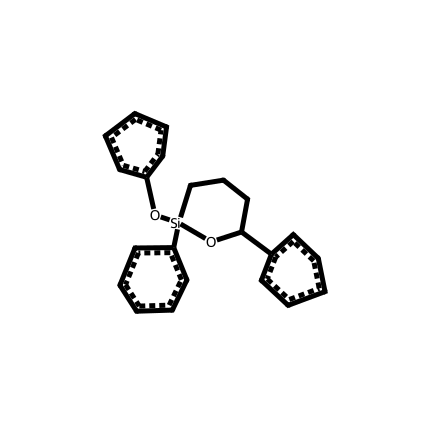 c1ccc(O[Si]2(c3ccccc3)CCCC(c3ccccc3)O2)cc1